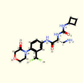 NC[C@@H](NC(=O)NC1CCC1)C(=O)Nc1ccc(N2CCOCC2=O)c(C(F)F)c1